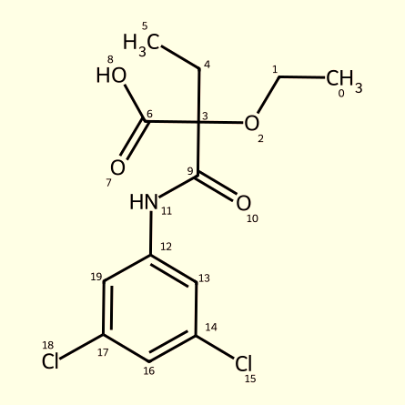 CCOC(CC)(C(=O)O)C(=O)Nc1cc(Cl)cc(Cl)c1